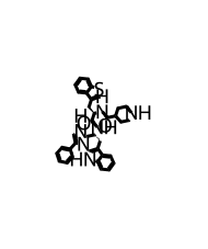 O=C(N[C@H](Cc1csc2ccccc12)C(=O)N[C@H](Cc1c[nH]c2ccccc12)c1nc(-c2ccccc2)c[nH]1)C1CCNCC1